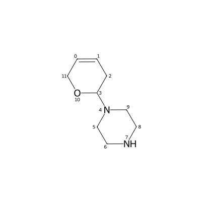 C1=CCC(N2CCNCC2)OC1